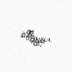 Cc1cccc(CCOc2cc(C(=O)NC3(C(=O)O)Cc4ccccc4C3)ccc2C(C)O)c1